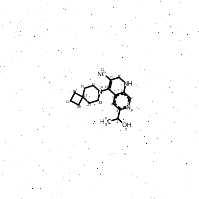 CC(O)c1cc2c(cn1)NCC(C#N)=C2N1CCC2(CCC2)CC1